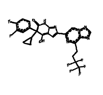 O=C1NC2=NC(c3cn4ncnc4c(CCC(F)(F)C(F)(F)F)n3)=CC2=C(O)C1(c1ccc(F)c(F)c1)C1CC1